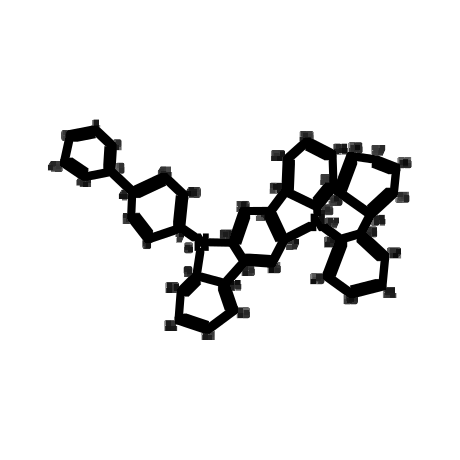 c1ccc(-c2ccc(-n3c4ccccc4c4cc5c(cc43)c3ccccc3n5-c3ccccc3-c3ccccc3)cc2)cc1